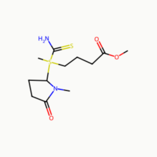 COC(=O)CCCS(C)(C(N)=S)C1CCC(=O)N1C